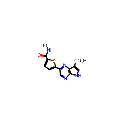 CCNC(=O)c1ccc(-c2cnc3[nH]cc(C(=O)O)c3n2)s1